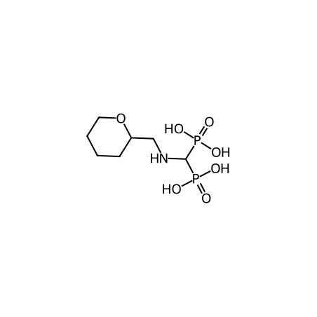 O=P(O)(O)C(NCC1CCCCO1)P(=O)(O)O